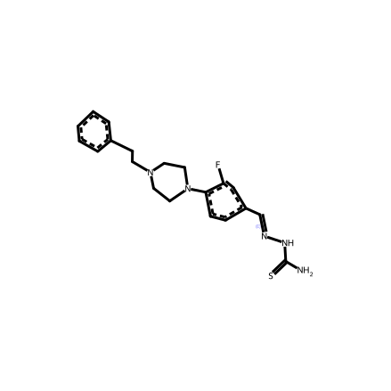 NC(=S)N/N=C/c1ccc(N2CCN(CCc3ccccc3)CC2)c(F)c1